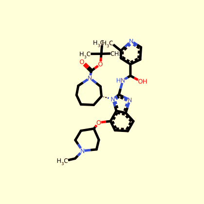 CCN1CCC(Oc2cccc3nc(NC(O)c4ccnc(C)c4)n([C@@H]4CCCCN(C(=O)OC(C)(C)C)C4)c23)CC1